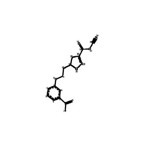 C=C(C)c1cccc(OCCC2CC(C(=O)OC#N)=NO2)c1